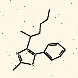 [CH2]C(CCCC)c1nc(C)sc1-c1ccccc1